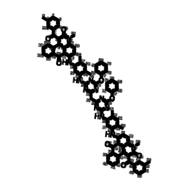 Cc1cccc(C(=O)c2c3c4c(c(Nc5cc(Nc6nc(Cc7nc(Nc8cc(Nc9ccc%10c%11c9C(=O)c9ccccc9-c%11c(C(=O)c9cccc(C)c9)c(=O)n%10C)c(C)cc8C)nc(Oc8ccccc8)n7)nc(Oc7ccccc7)n6)c(C)cc5C)ccc4n(C)c2=O)C(=O)c2ccccc2-3)c1